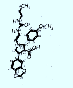 CCCNC(=O)NC=CN1C[C@H](c2ccc3c(c2)OCO3)[C@H](C(=O)O)[C@H]1c1ccc(OC)cc1